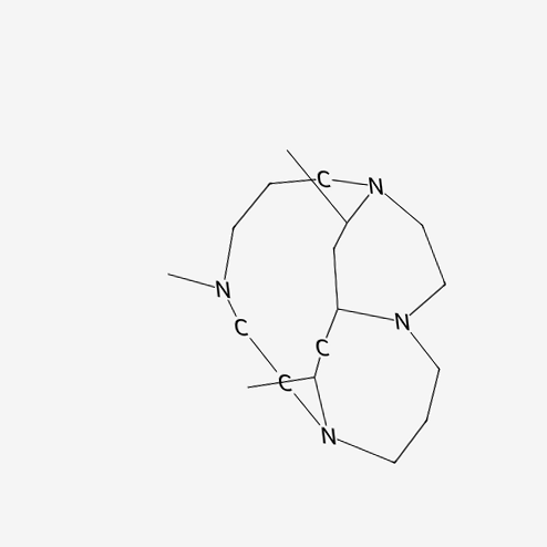 CC1CC2CC(C)N3CCCN(C)CCN1CCCN2CC3